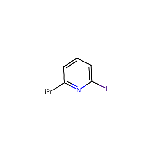 CC(C)c1cccc(I)n1